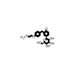 COCCOc1ccc(Cc2cc([C@@H]3O[C@H](CO)[C@@H](O)[C@H](O)[C@H]3O)ccc2Cl)cc1